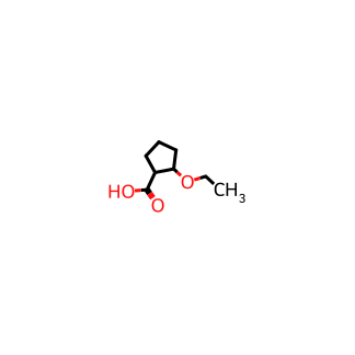 CCOC1CCCC1C(=O)O